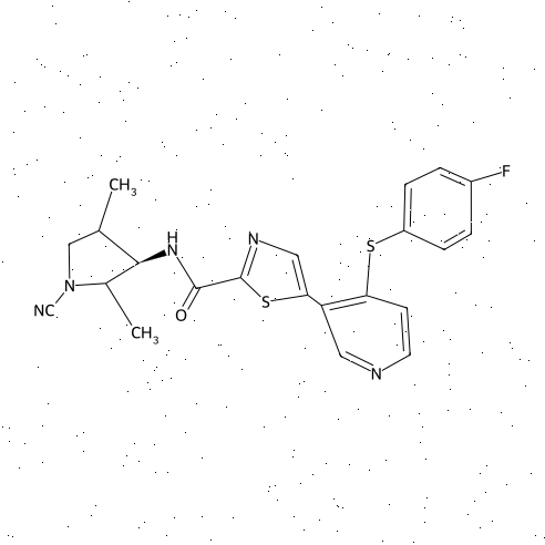 CC1CN(C#N)C(C)[C@@H]1NC(=O)c1ncc(-c2cnccc2Sc2ccc(F)cc2)s1